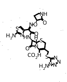 Nc1nc(/C(=N/O[C@H]2CCNC2=O)C(=O)N[C@@H]2C(=O)N3C(C(=O)O)=C(CSc4nnnn4N)CS[C@@H]23)cs1